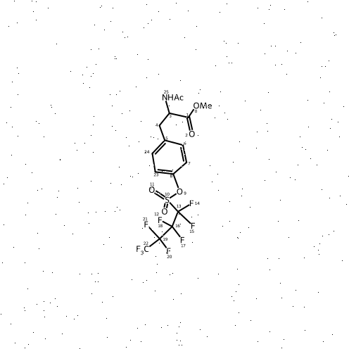 COC(=O)C(Cc1ccc(OS(=O)(=O)C(F)(F)C(F)(F)C(F)(F)C(F)(F)F)cc1)NC(C)=O